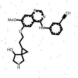 C#Cc1cccc(Nc2ncnc3cc(OC)c(OCCC4CC45CNCC5O)cc23)c1